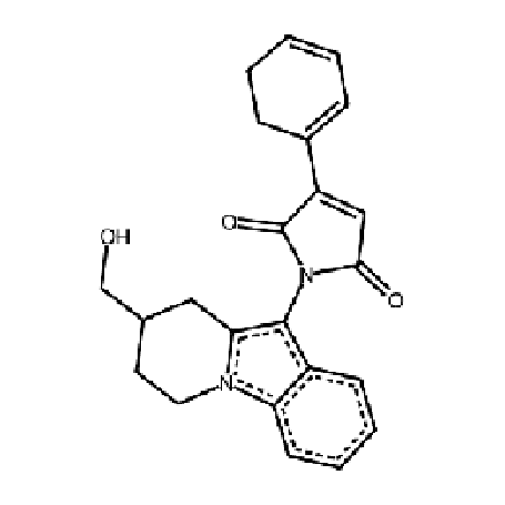 O=C1C=C(C2=CC=CCC2)C(=O)N1c1c2n(c3ccccc13)CCC(CO)C2